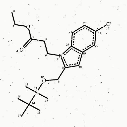 CCOC(=O)CCn1c(CO[Si](C)(C)C(C)(C)C)cc2cc(Cl)ccc21